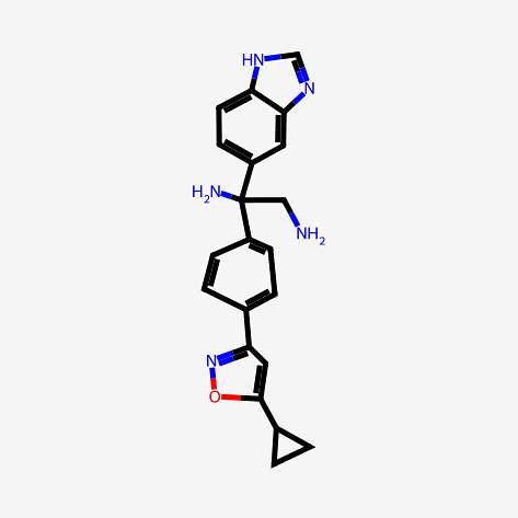 NCC(N)(c1ccc(-c2cc(C3CC3)on2)cc1)c1ccc2[nH]cnc2c1